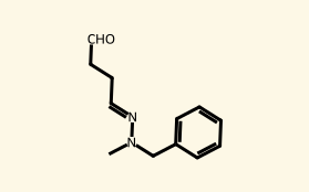 CN(Cc1ccccc1)N=CCCC=O